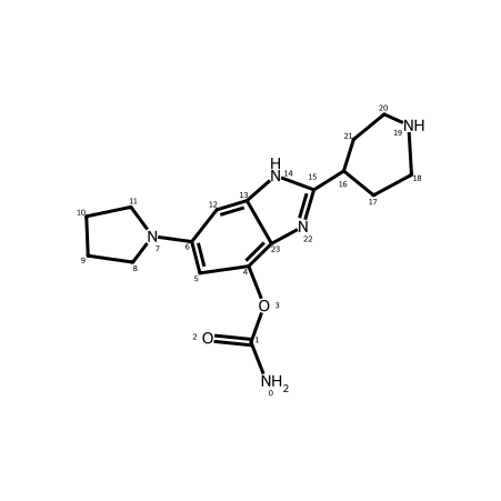 NC(=O)Oc1cc(N2CCCC2)cc2[nH]c(C3CCNCC3)nc12